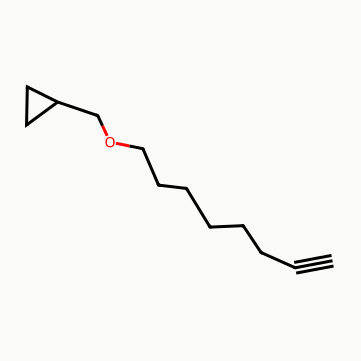 C#CCCCCCCOCC1CC1